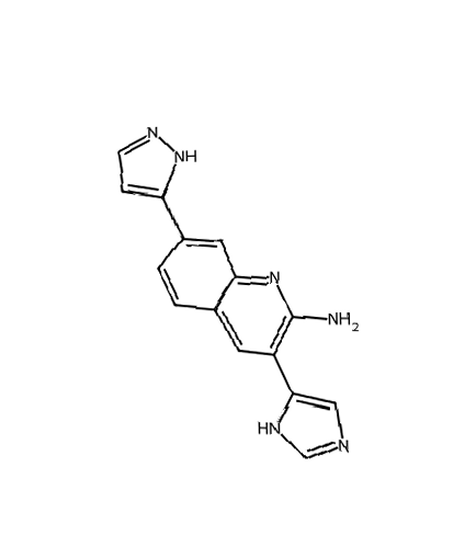 Nc1nc2cc(-c3ccn[nH]3)ccc2cc1-c1cnc[nH]1